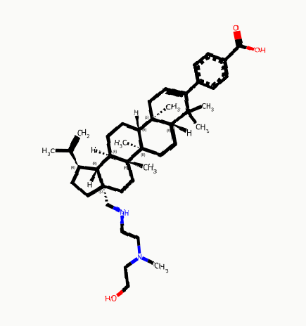 C=C(C)[C@@H]1CC[C@]2(CNCCN(C)CCO)CC[C@]3(C)[C@H](CC[C@@H]4[C@@]5(C)CC=C(c6ccc(C(=O)O)cc6)C(C)(C)[C@@H]5CC[C@]43C)[C@@H]12